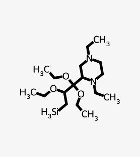 CCOC(C[SiH3])C(OCC)(OCC)C1CN(CC)CCN1CC